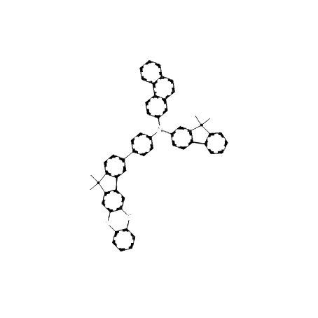 CC1(C)c2ccccc2-c2ccc(N(c3ccc(-c4ccc5c(c4)-c4cc6c(cc4C5(C)C)Sc4ccccc4S6)cc3)c3ccc4c(ccc5ccccc54)c3)cc21